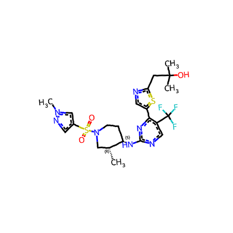 C[C@@H]1CN(S(=O)(=O)c2cnn(C)c2)CC[C@@H]1Nc1ncc(C(F)(F)F)c(-c2cnc(CC(C)(C)O)s2)n1